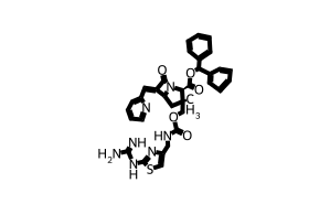 C[C@@]1(COC(=O)NCc2csc(NC(=N)N)n2)CC2/C(=C\c3ccccn3)C(=O)N2[C@H]1C(=O)OC(c1ccccc1)c1ccccc1